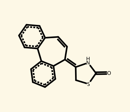 O=C1NC(=C2C=Cc3ccccc3-c3ccccc32)CS1